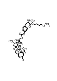 CC(=O)N[C@@H](Cc1ccc(OC(=O)OCC(=O)[C@@]2(O)[C@H](O)C[C@H]3[C@@H]4CCC5=CC(=O)C=C[C@]5(C)[C@@]4(F)[C@@H](O)C[C@@]32C)cc1)C(=O)OCCCCO[N+](=O)[O-]